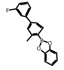 Cc1cc(-c2cccc(F)c2)ccc1B1Oc2ccccc2O1